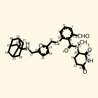 CN(C(=O)c1c(C=O)cccc1SCc1ccc(CNC23CC4CC(CC(C4)C2)C3)o1)C1CCC(=O)NC1=O